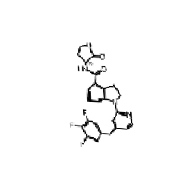 O=C(N[C@H]1CCOC1=O)c1cccc2c1CCN2c1cc(Cc2cc(F)c(F)c(F)c2)ccn1